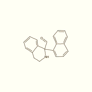 O=CC1(c2cccc3ccccc23)NCCc2ccccc21